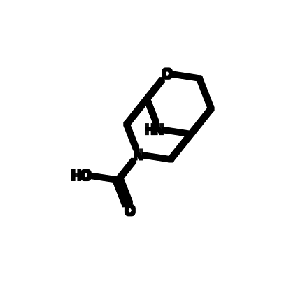 O=C(O)N1CC2CCOC(C1)N2